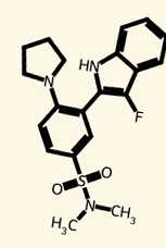 CN(C)S(=O)(=O)c1ccc(N2CCCC2)c(-c2[nH]c3ccccc3c2F)c1